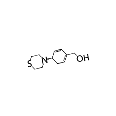 OCC1=CC[C@@H](N2CCSCC2)C=C1